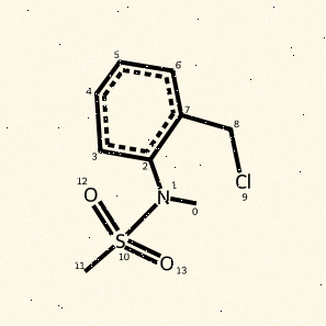 CN(c1ccccc1CCl)S(C)(=O)=O